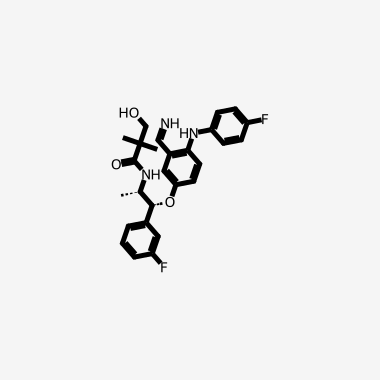 C[C@H](NC(=O)C(C)(C)CO)[C@H](Oc1ccc(Nc2ccc(F)cc2)c(C=N)c1)c1cccc(F)c1